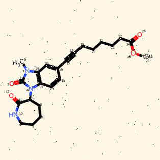 Cn1c(=O)n(C2CCCCNC2=O)c2ccc(C#CCCCCCC(=O)OC(C)(C)C)cc21